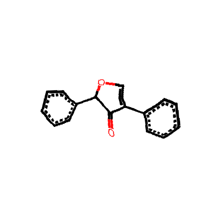 O=C1C(c2ccccc2)=COC1c1ccccc1